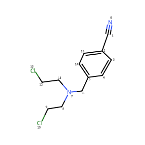 N#Cc1ccc(CN(CCCl)CCCl)cc1